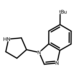 CC(C)(C)c1ccc2ncn(C3CCNC3)c2c1